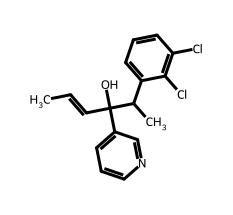 CC=CC(O)(c1cccnc1)C(C)c1cccc(Cl)c1Cl